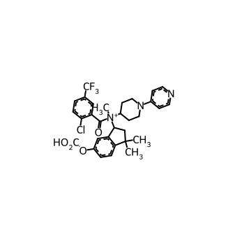 CC1(C)CC([N+](C)(C(=O)c2cc(C(F)(F)F)ccc2Cl)C2CCN(c3ccncc3)CC2)c2cc(OC(=O)O)ccc21